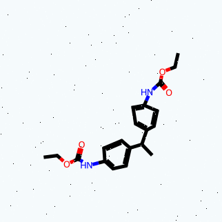 CCOC(=O)Nc1ccc(C(C)c2ccc(NC(=O)OCC)cc2)cc1